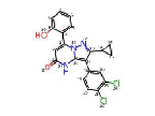 O=c1cc(-c2ccccc2O)n2nc(C3CC3)c(-c3ccc(Cl)c(Cl)c3)c2[nH]1